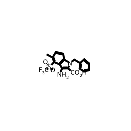 Cc1ccc2c(c(N)c(C(=O)O)n2Cc2ccccc2)c1S(=O)(=O)C(F)(F)F